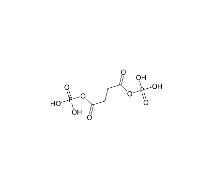 O=C(CCC(=O)OP(=O)(O)O)OP(=O)(O)O